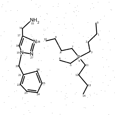 CCCC[P](CC)(CCCC)CCCC.NCc1cn(Cc2ccccc2)nn1